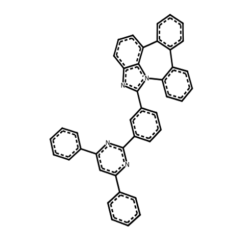 c1ccc(-c2cc(-c3ccccc3)nc(-c3cccc(-c4nc5cccc6c5n4-c4ccccc4-c4ccccc4-6)c3)n2)cc1